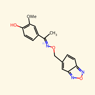 COc1cc(/C(C)=N/OCc2ccc3nonc3c2)ccc1O